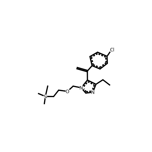 C=C(c1ccc(Cl)cc1)c1c(CC)ncn1COCC[Si](C)(C)C